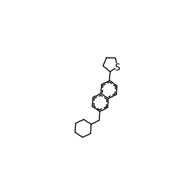 c1cc2cc(C3CCCS3)ccc2cc1CC1CCCCC1